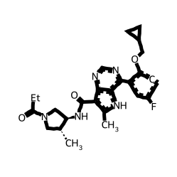 CCC(=O)N1C[C@@H](C)[C@H](NC(=O)c2c(C)[nH]c3c(-c4cc(F)ccc4OCC4CC4)ncnc23)C1